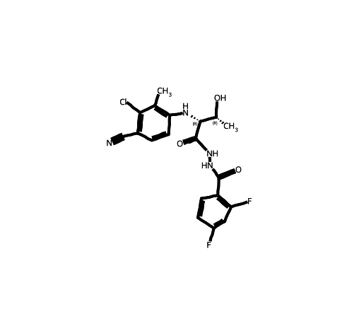 Cc1c(N[C@@H](C(=O)NNC(=O)c2ccc(F)cc2F)[C@@H](C)O)ccc(C#N)c1Cl